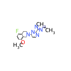 C=N/C(=N\C=C/C)c1nccc(N2CCc3c(F)ccc(OC)c3C2)n1